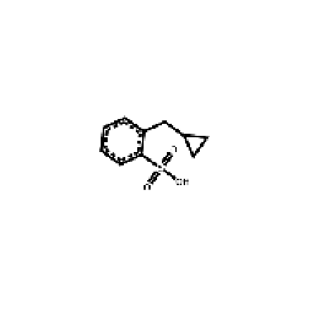 O=S(=O)(O)c1ccccc1CC1CC1